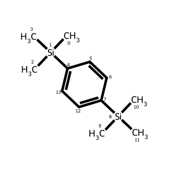 C[Si](C)(C)c1[c]cc([Si](C)(C)C)cc1